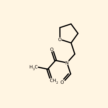 C=C(C)C(=O)N(C=O)CC1CCCO1